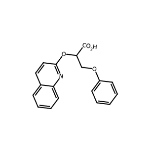 O=C(O)C(COc1ccccc1)Oc1ccc2ccccc2n1